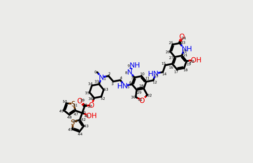 CN(CCCNc1c(N=N)cc(CNCCc2ccc(O)c3[nH]c(=O)ccc23)c2c1COC2)C1CCC(OC(=O)C(O)(c2cccs2)c2cccs2)CC1